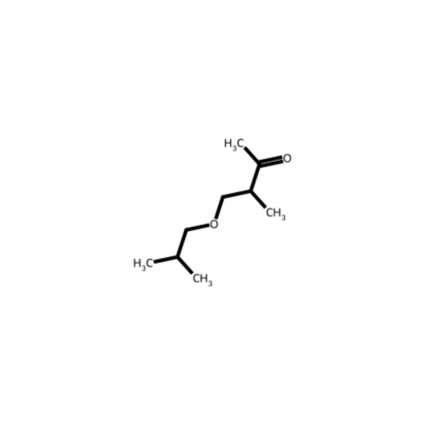 CC(=O)C(C)COCC(C)C